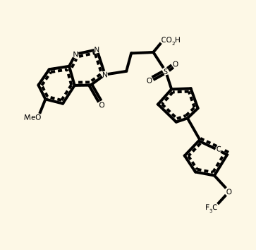 COc1ccc2nnn(CCC(C(=O)O)S(=O)(=O)c3ccc(-c4ccc(OC(F)(F)F)cc4)cc3)c(=O)c2c1